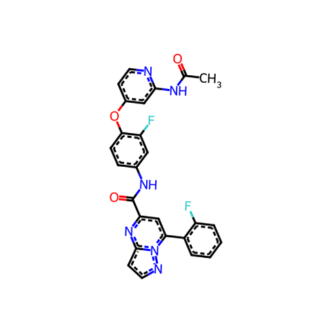 CC(=O)Nc1cc(Oc2ccc(NC(=O)c3cc(-c4ccccc4F)n4nccc4n3)cc2F)ccn1